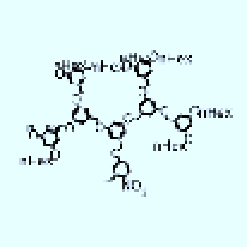 [CH2]c1cc(OCc2cc(OCc3cc(OCc4cc(OCCCCCC)cc(OCCCCCC)c4)cc(OCc4cc(OCCCCCC)cc(OCCCCCC)c4)c3)cc(OCc3cc(OCc4cc(OCCCCCC)cc(OCCCCCC)c4)cc(OCc4cc(OCCCCCC)cc(OCCCCCC)c4)c3)c2)ccc1[N+](=O)[O-]